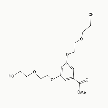 COC(=O)c1cc(OCCOCCO)cc(OCCOCCO)c1